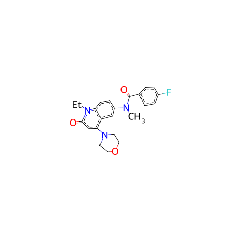 CCn1c(=O)cc(N2CCOCC2)c2cc(N(C)C(=O)c3ccc(F)cc3)ccc21